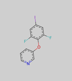 Fc1cc(I)cc(F)c1Oc1cccnc1